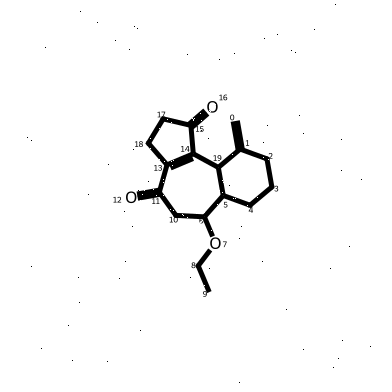 C=C1CCCC2C(OCC)CC(=O)C3=C(C(=O)CC3)C12